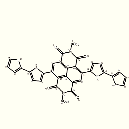 CCCCCCCCN1C(=O)c2cc(-c3ccc(-c4cccs4)s3)c3c4c(cc(-c5ccc(-c6cccs6)s5)c(c24)C1=O)C(=O)N(CCCCCCCC)C3=O